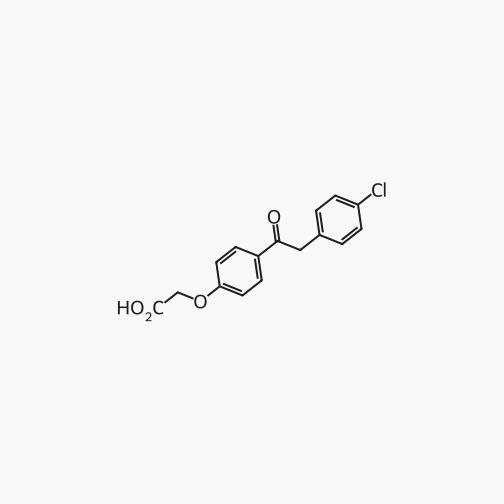 O=C(O)COc1ccc(C(=O)Cc2ccc(Cl)cc2)cc1